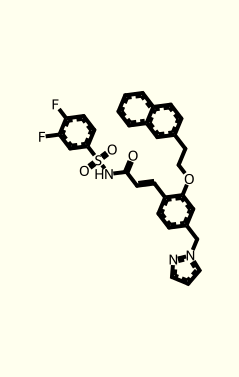 O=C(C=Cc1ccc(Cn2cccn2)cc1OCCc1ccc2ccccc2c1)NS(=O)(=O)c1ccc(F)c(F)c1